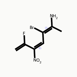 C=C(F)/C(=C\C(Br)=C(/C)N)[N+](=O)[O-]